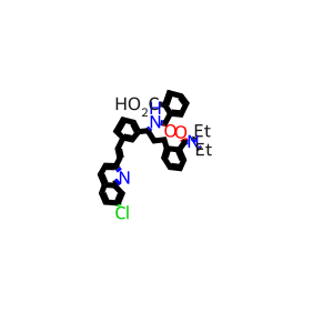 CCN(CC)C(=O)c1ccccc1CCC(NC(=O)c1ccccc1C(=O)O)c1cccc(/C=C/c2ccc3ccc(Cl)cc3n2)c1